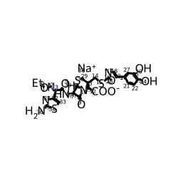 CCO/N=C(/C(=O)N[C@@H]1C(=O)N2C(C(=O)[O-])=C(CSc3ncc(-c4ccc(O)c(O)c4)o3)CS[C@H]12)c1csc(N)n1.[Na+]